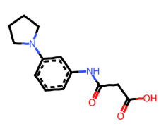 O=C(O)CC(=O)Nc1cccc(N2CCCC2)c1